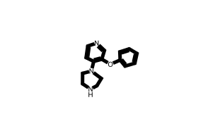 c1ccc(Oc2cnccc2N2CCNCC2)cc1